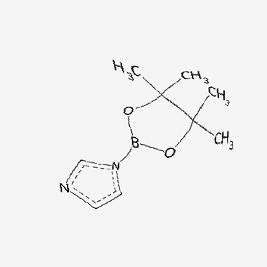 CC1(C)OB(n2ccnc2)OC1(C)C